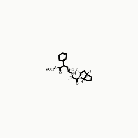 CCCCCCCCOC(=O)C(CCN[C@@H](C)C(=O)N1[C@H](C(=O)O)C[C@@H]2CCC[C@@H]21)c1ccccc1